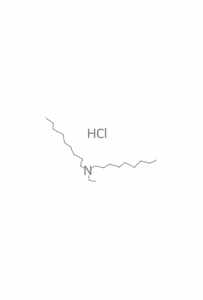 CCCCCCCCCN(CC)CCCCCCCCC.Cl